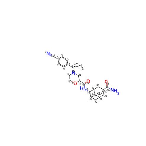 C[C@H](c1ccc(C#N)cc1)N1CCOC(C(=O)NC2C3CC4CC2CC(C(N)=O)(C4)C3)C1